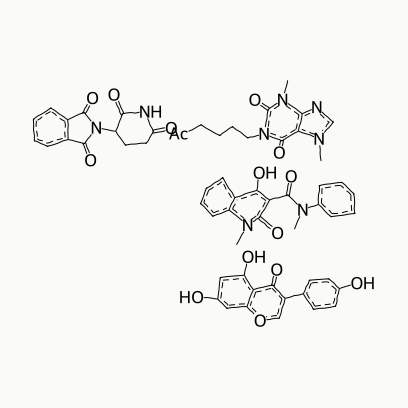 CC(=O)CCCCn1c(=O)c2c(ncn2C)n(C)c1=O.CN(C(=O)c1c(O)c2ccccc2n(C)c1=O)c1ccccc1.O=C1CCC(N2C(=O)c3ccccc3C2=O)C(=O)N1.O=c1c(-c2ccc(O)cc2)coc2cc(O)cc(O)c12